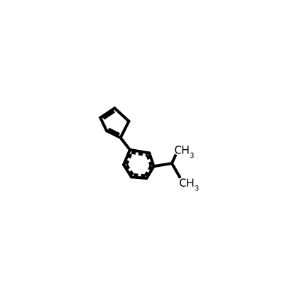 CC(C)c1cccc(C2=CC=CC2)c1